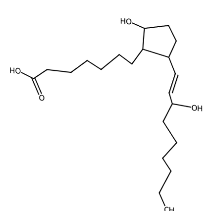 CCCCCCC(O)/C=C/C1CCC(O)C1CCCCCCC(=O)O